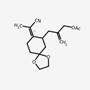 C=C(COC(C)=O)CC1CC2(CC/C1=C(\C)C#N)OCCO2